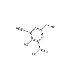 N#Cc1cc(CBr)cc(C(=O)O)c1S